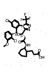 COc1cccc([C@@H]2O[C@@H](CC(=O)NC3CCCCC3CCC(=O)O)c3nnc(C(F)(F)F)n3-c3ccc(Cl)cc32)c1Cl